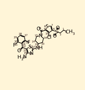 CCCS(=O)(=O)c1csc(C(=O)N2CCC(Nc3nc(N)c(C(=O)c4c(F)cccc4F)s3)CC2)c1Cl